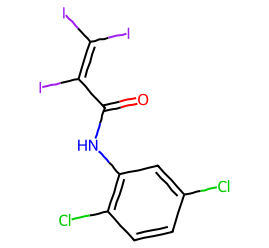 O=C(Nc1cc(Cl)ccc1Cl)C(I)=C(I)I